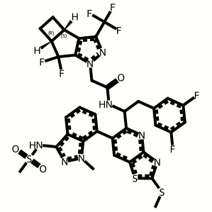 CSc1nc2nc(C(Cc3cc(F)cc(F)c3)NC(=O)Cn3nc(C(F)(F)F)c4c3C(F)(F)[C@@H]3CC[C@H]43)c(-c3cccc4c(NS(C)(=O)=O)nn(C)c34)cc2s1